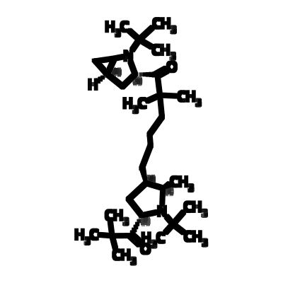 C[C@@H]1[C@H](CCCCC(C)(C)C(=O)[C@@H]2C[C@H]3CC3N2C(C)(C)C)C[C@@H](C(=O)C(C)(C)C)N1C(C)(C)C